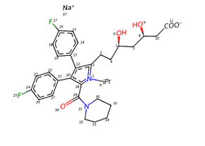 CC(C)n1c(CC[C@@H](O)C[C@@H](O)CC(=O)[O-])c(-c2ccc(F)cc2)c(-c2ccc(F)cc2)c1C(=O)N1CCCCC1.[Na+]